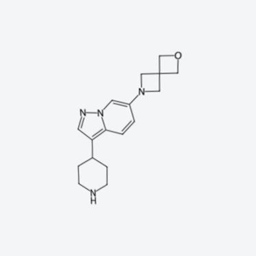 c1cc2c(C3CCNCC3)cnn2cc1N1CC2(COC2)C1